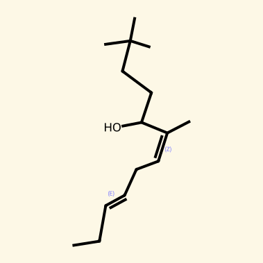 CC/C=C/C/C=C(/C)C(O)CCC(C)(C)C